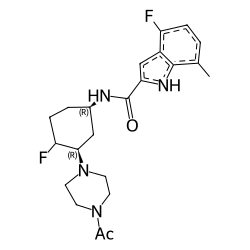 CC(=O)N1CCN([C@@H]2C[C@H](NC(=O)c3cc4c(F)ccc(C)c4[nH]3)CCC2F)CC1